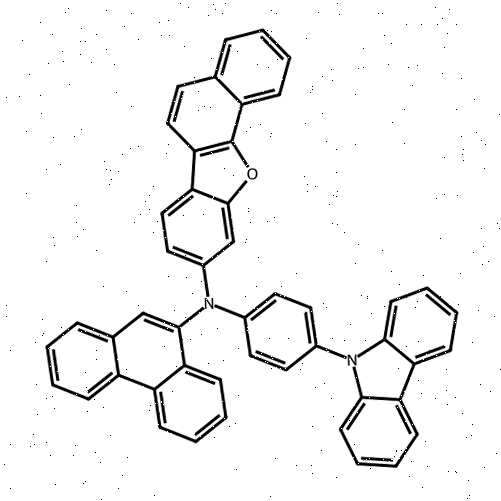 c1ccc2c(c1)cc(N(c1ccc(-n3c4ccccc4c4ccccc43)cc1)c1ccc3c(c1)oc1c4ccccc4ccc31)c1ccccc12